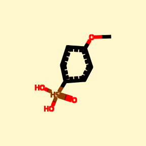 COc1ccc([SH](=O)(O)O)cc1